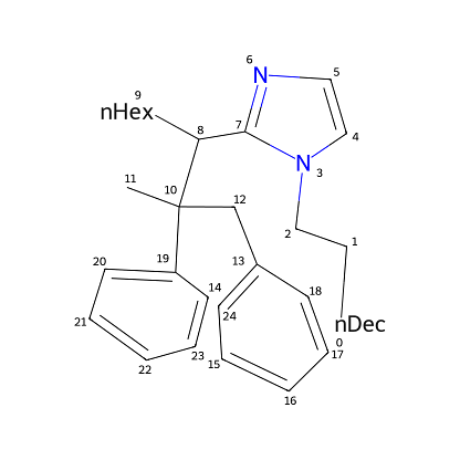 CCCCCCCCCCCCn1ccnc1C(CCCCCC)C(C)(Cc1ccccc1)c1ccccc1